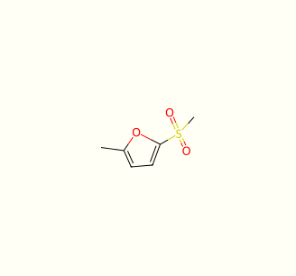 Cc1ccc(S(C)(=O)=O)o1